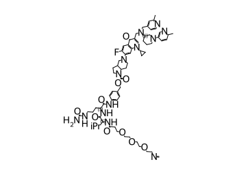 C=NCCOCCOCCOCCC(=O)N[C@H](C(=O)N[C@@H](CCCNC(N)=O)C(=O)Nc1ccc(COC(=O)N2CCC3CN(c4cc5c(cc4F)c(=O)c(CN(Cc4ccnc(C)c4)[C@H]4CCCN(c6ccc(C)nc6)C4)cn5C4CC4)CCC32)cc1)C(C)C